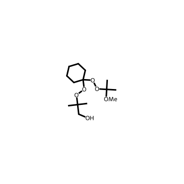 COC(C)(C)OOC1(OOC(C)(C)CO)CCCCC1